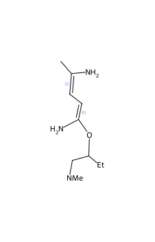 CCC(CNC)O/C(N)=C/C=C(/C)N